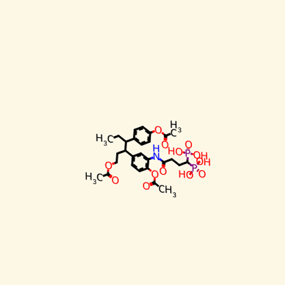 CCC(c1ccc(OC(C)=O)cc1)C(CCOC(C)=O)c1ccc(OC(C)=O)c(NC(=O)CCC(P(=O)(O)O)P(=O)(O)O)c1